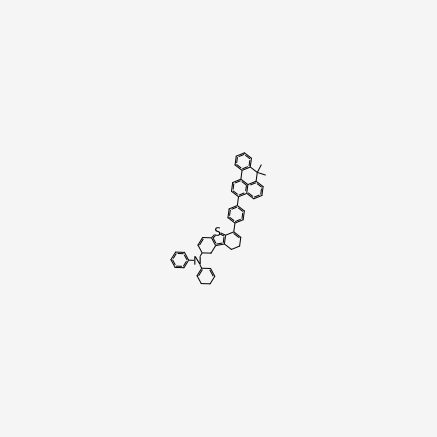 CC1(C)c2ccccc2-c2ccc(-c3ccc(C4=CCCc5c4sc4c5CC(N(C5=CCCC=C5)c5ccccc5)C=C4)cc3)c3cccc1c23